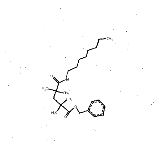 CCCCCCCCNC(=O)C(C)(C)CC(C)(C)C(=O)OCc1ccccc1